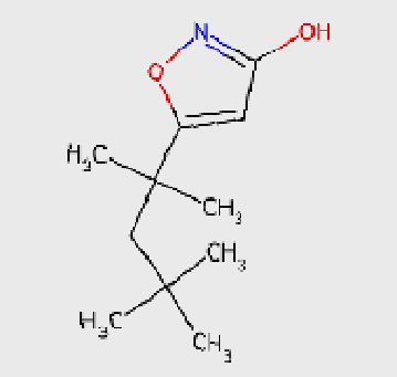 CC(C)(C)CC(C)(C)c1cc(O)no1